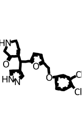 O=C1CNCC=C1C(c1cn[nH]c1)c1ccc(COc2ccc(Cl)c(Cl)c2)o1